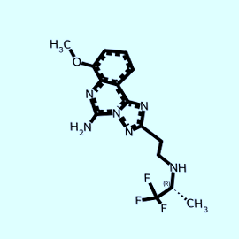 COc1cccc2c1nc(N)n1nc(CCN[C@H](C)C(F)(F)F)nc21